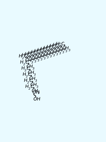 C=CC.C=CC.C=CC.C=CC.C=CC.C=CC.C=CC.C=CC.C=CC.C=CC.C=CC.C=CC.C=CC.C=CC.C=CC.C=CC.C=CC.C=CC.OCCO